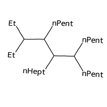 [CH2]CCCCC(C(CC)CC)C(CCCCCCC)C(CCCCC)CCCCC